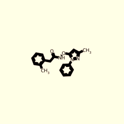 Cc1cc(ONC(=O)Cc2ccccc2C)n(-c2ccccc2)n1